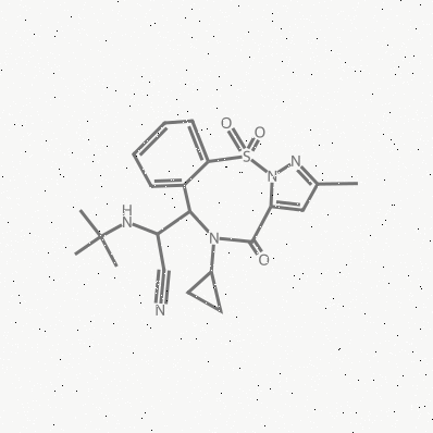 Cc1cc2n(n1)S(=O)(=O)c1ccccc1C(C(C#N)NC(C)(C)C)N(C1CC1)C2=O